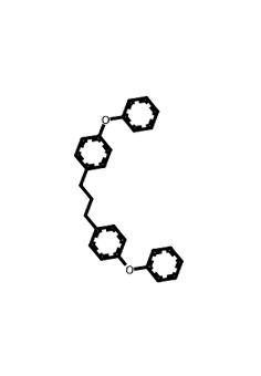 c1ccc(Oc2ccc(CCCc3ccc(Oc4ccccc4)cc3)cc2)cc1